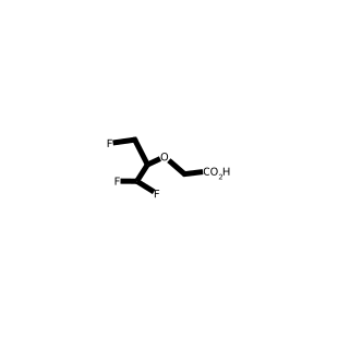 O=C(O)COC(CF)C(F)F